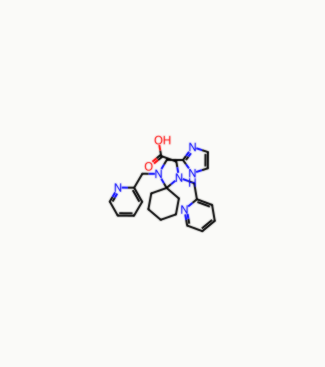 O=C(O)CN(Cc1ccccn1)C1(N(Cc2ccccn2)Cc2ncc[nH]2)CCCCC1